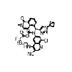 Cn1ccc2c([C@@H](c3cn(C45CC(C4)C5)nn3)N(C(=O)OC(=O)C(F)(F)F)c3cc(Cl)c4ncc(C#N)c(NCC(C)(C)C)c4c3)cccc2c1=O